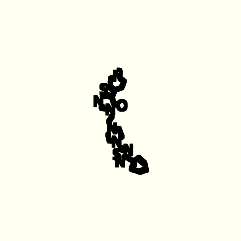 CN1CCc2c(sc3ncn(CCN4CCN(c5nc(-c6ccccc6)ns5)CC4)c(=O)c23)C1